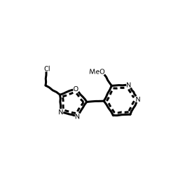 COc1nnccc1-c1nnc(CCl)o1